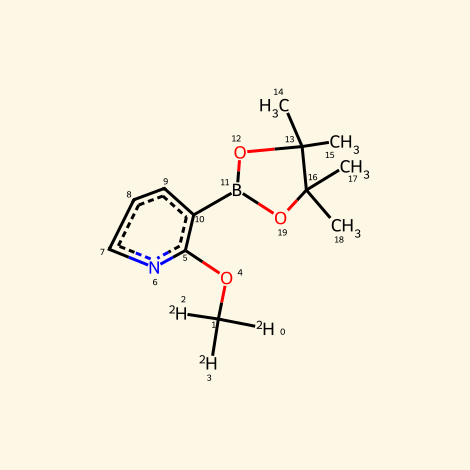 [2H]C([2H])([2H])Oc1ncccc1B1OC(C)(C)C(C)(C)O1